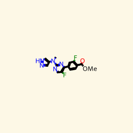 COC(=O)c1ccc(-c2nc(N(C)c3cn[nH]c3)ncc2F)cc1F